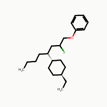 CCCCC(CC(F)COc1ccccc1)[C@H]1CC[C@H](CC)CC1